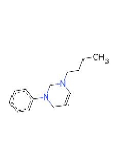 CCCCN1C=[C]CN(c2ccccc2)C1